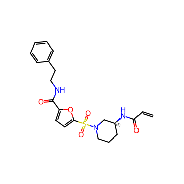 C=CC(=O)N[C@H]1CCCN(S(=O)(=O)c2ccc(C(=O)NCCc3ccccc3)o2)C1